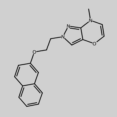 CN1C=COc2cn(CCOc3ccc4ccccc4c3)nc21